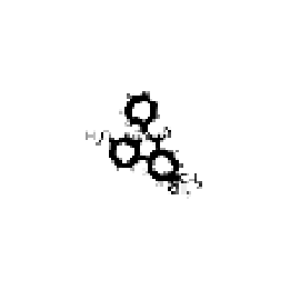 CC1C=CC=c2c3c(c(=O)n(C4=CC=C=CC=C4)c2=C1)C=CC(C)(C)C=C3